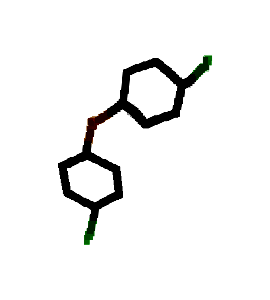 FC1CCC(SC2CCC(F)CC2)CC1